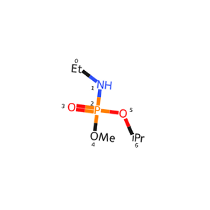 CCNP(=O)(OC)OC(C)C